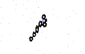 CC1(C)c2ccccc2-n2c3ccc(-c4ccc(C5=CC=C(c6ccccc6)CC5)cc4)cc3c3cccc1c32